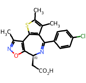 Cc1noc2c1-c1sc(C)c(C)c1C(c1ccc(Cl)cc1)=N[C@H]2CC(=O)O